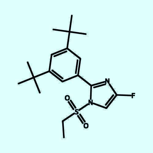 CCS(=O)(=O)n1cc(F)nc1-c1cc(C(C)(C)C)cc(C(C)(C)C)c1